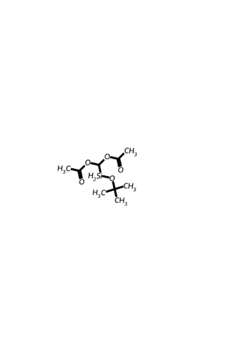 CC(=O)OC(OC(C)=O)[SiH2]OC(C)(C)C